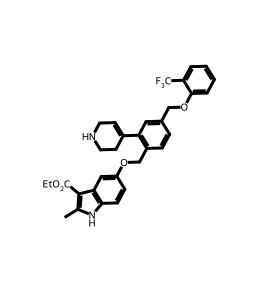 CCOC(=O)c1c(C)[nH]c2ccc(OCc3ccc(COc4ccccc4C(F)(F)F)cc3C3=CCNCC3)cc12